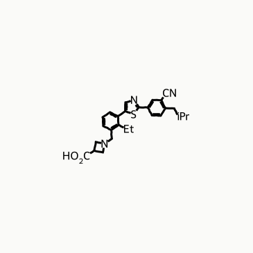 CCc1c(CN2CC(C(=O)O)C2)cccc1-c1cnc(-c2ccc(CC(C)C)c(C#N)c2)s1